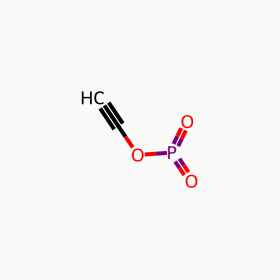 C#COP(=O)=O